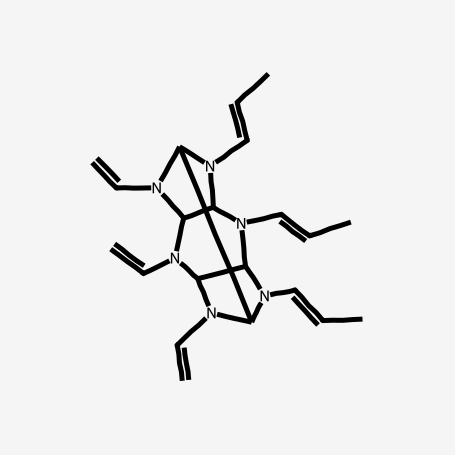 C=CN1C2C3N(C=CC)C(C4N(C=C)C1C(N4C=CC)N3/C=C/C)N2C=C